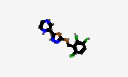 Fc1ccc(Cl)c(CSc2nnc(-c3cnccn3)s2)c1Cl